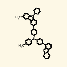 Cc1ccc(N(c2ccc(-c3ccc4c(c3)c3cc(C)ccc3n4-c3ccccc3)cc2)c2ccc(-c3cccc4c3sc3ccccc34)cc2)cc1